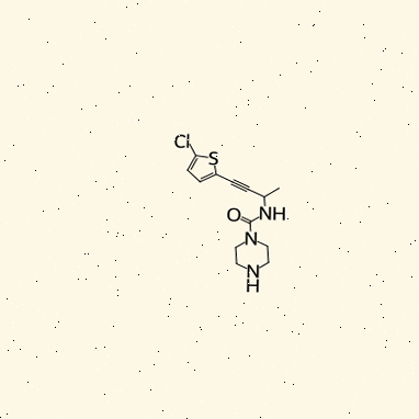 CC(C#Cc1ccc(Cl)s1)NC(=O)N1CCNCC1